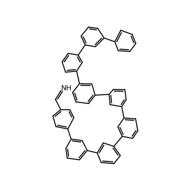 N=Cc1ccc(-c2cccc(-c3cccc(-c4cccc(-c5cccc(-c6cccc(-c7cccc(-c8cccc(-c9ccccc9)c8)c7)c6)c5)c4)c3)c2)cc1